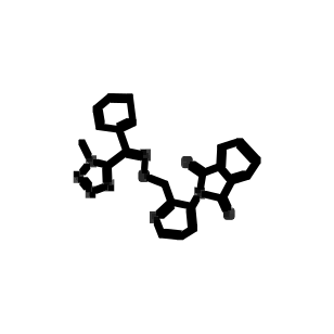 Cn1nnnc1C(=NOCc1ncccc1N1C(=O)c2ccccc2C1=O)c1ccccc1